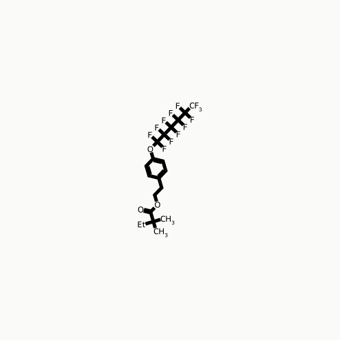 CCC(C)(C)C(=O)OCCc1ccc(OC(F)(F)C(F)(F)C(F)(F)C(F)(F)C(F)(F)C(F)(F)F)cc1